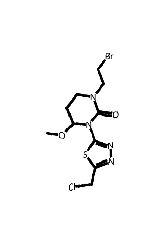 COC1CCN(CCBr)C(=O)N1c1nnc(CCl)s1